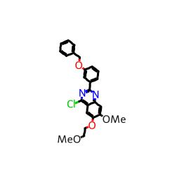 COCCOc1cc2c(Cl)nc(-c3cccc(OCc4ccccc4)c3)nc2cc1OC